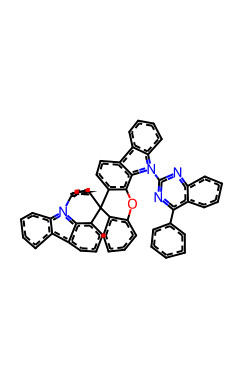 c1ccc(-c2nc(-n3c4ccccc4c4ccc5c(c43)Oc3ccccc3C53c4ccccc4-n4c5ccccc5c5cccc3c54)nc3ccccc23)cc1